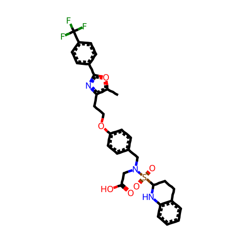 Cc1oc(-c2ccc(C(F)(F)F)cc2)nc1CCOc1ccc(CN(CC(=O)O)S(=O)(=O)C2CCc3ccccc3N2)cc1